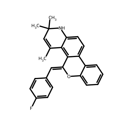 CC1=CC(C)(C)Nc2ccc3c(c21)C(=Cc1ccc(F)cc1)Oc1ccccc1-3